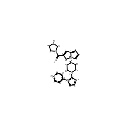 O=C(C1=CC2=CC=C[N@@+]2(N2CCN(c3nccn3-c3ccncc3)CC2)C1)N1CCSC1